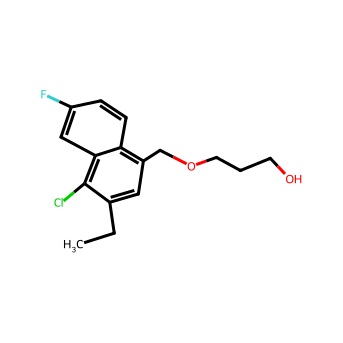 CCc1cc(COCCCO)c2ccc(F)cc2c1Cl